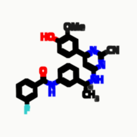 COc1cc(-c2cc(N[C@@H](C)c3cccc(NC(=O)c4cccc(F)c4)c3)nc(C#N)n2)ccc1O